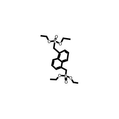 CCOP(=O)(Cc1cccc2c(CP(=O)(OCC)OCC)cccc12)OCC